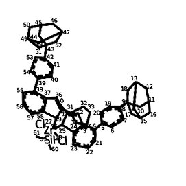 CC1=Cc2c(-c3ccc(C45CC6CC(CC(C6)C4)C5)cc3)cccc2[CH]1[Zr]([Cl])([Cl])([CH]1C(C2CCCC2)=Cc2c(-c3ccc(C45CC6CC(CC(C6)C4)C5)cc3)cccc21)[SiH](C)C